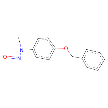 CN(N=O)c1ccc(OCc2ccccc2)cc1